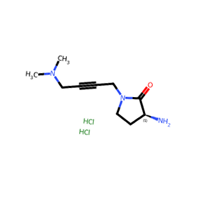 CN(C)CC#CCN1CC[C@H](N)C1=O.Cl.Cl